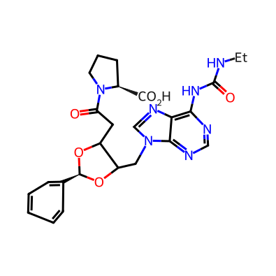 CCNC(=O)Nc1ncnc2c1ncn2CC1O[C@@H](c2ccccc2)OC1CC(=O)N1CCC[C@H]1C(=O)O